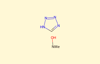 CNO.c1nnn[nH]1